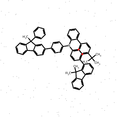 CC(C)(C)c1ccc(-c2ccccc2N(c2ccc(-c3ccc4c(c3)C(C)(c3ccccc3)c3ccccc3-4)cc2)c2ccc(-c3cccc4c3C(C)(C)c3ccccc3-4)cc2)cc1